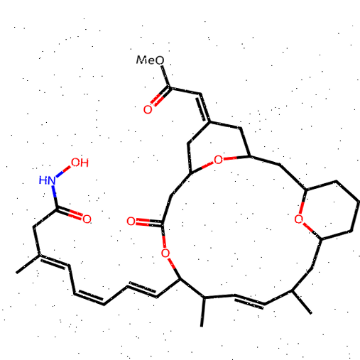 COC(=O)/C=C1\CC2CC(=O)OC(/C=C/C=C\C=C(/C)CC(=O)NO)C(C)/C=C/C(C)CC3CCCC(CC(C1)O2)O3